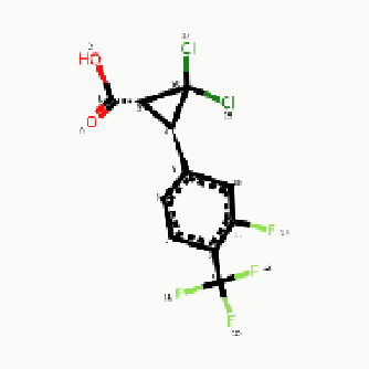 O=C(O)[C@H]1[C@H](c2ccc(C(F)(F)F)c(F)c2)C1(Cl)Cl